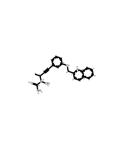 CC(C#Cc1cccc(OCc2ccc3ccccc3n2)c1)N(O)C(N)=O